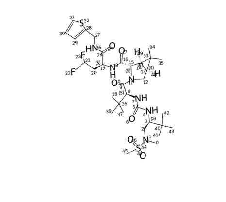 CN(C[C@@H](NC(=O)N[C@H](C(=O)N1C[C@H]2[C@@H]([C@H]1C(=O)N[C@@H](CC(F)F)C(=O)NCc1cccs1)C2(C)C)C(C)(C)C)C(C)(C)C)S(C)(=O)=O